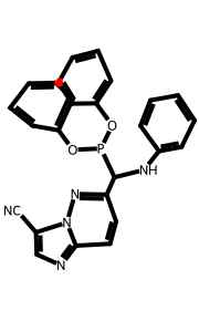 N#Cc1cnc2ccc(C(Nc3ccccc3)P(Oc3ccccc3)Oc3ccccc3)nn12